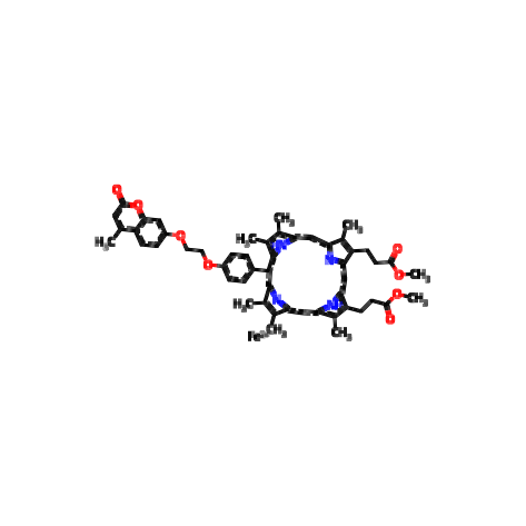 COC(=O)CCC1=C(C)c2cc3[nH]c(c(C)c3C)c(-c3ccc(OCCOc4ccc5c(C)cc(=O)oc5c4)cc3)c3nc(cc4[nH]c(cc1n2)c(CCC(=O)OC)c4C)C(C)=C3C.[Fe+2]